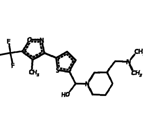 Cc1c(-c2ccc(C(O)N3CCCC(CN(C)C)C3)s2)noc1C(F)(F)F